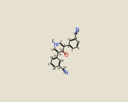 Cn1cc(-c2cccc(C#N)c2)c(=O)c(-c2cccc(C#N)c2)c1